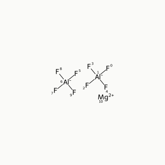 [F][Al-]([F])([F])[F].[F][Al-]([F])([F])[F].[Mg+2]